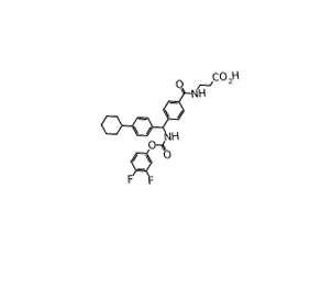 O=C(O)CCNC(=O)c1ccc(C(NC(=O)Oc2ccc(F)c(F)c2)c2ccc(C3CCCCC3)cc2)cc1